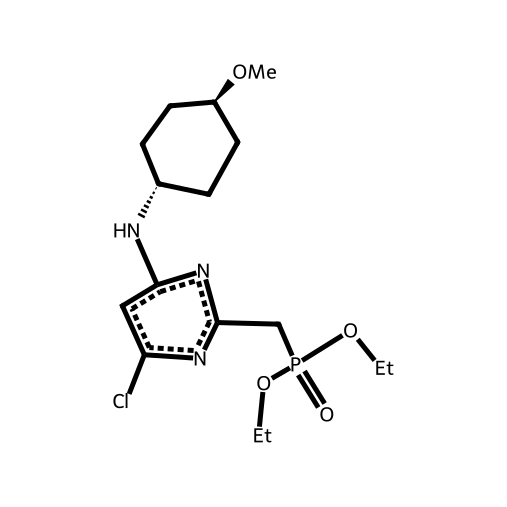 CCOP(=O)(Cc1nc(Cl)cc(N[C@H]2CC[C@H](OC)CC2)n1)OCC